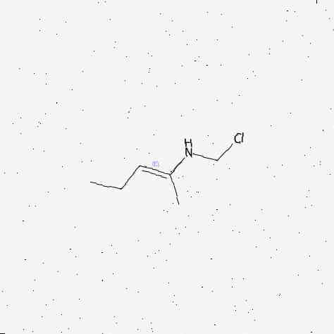 CC/C=C(\C)NCCl